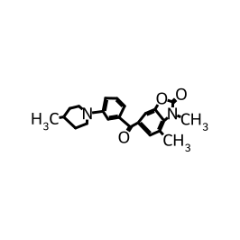 Cc1cc(C(=O)c2cccc(N3CCC(C)CC3)c2)cc2oc(=O)n(C)c12